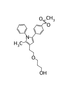 Cc1c(CCOCCCO)cc(-c2ccc(S(C)(=O)=O)cc2)n1-c1ccccc1